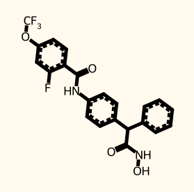 O=C(Nc1ccc(C(C(=O)NO)c2ccccc2)cc1)c1ccc(OC(F)(F)F)cc1F